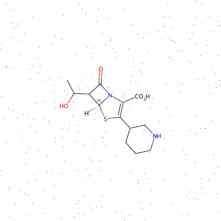 CC(O)C1C(=O)N2C(C(=O)O)=C(C3CCCNC3)S[C@@H]12